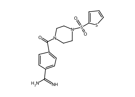 N=C(N)c1ccc(C(=O)N2CCN(S(=O)(=O)c3cccs3)CC2)cc1